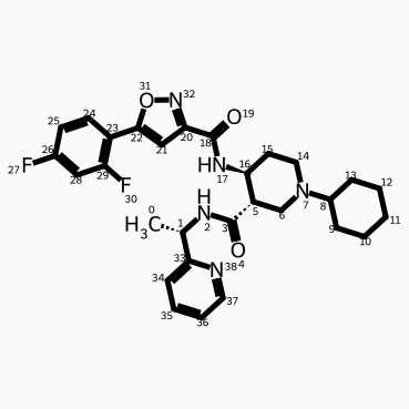 C[C@H](NC(=O)[C@H]1CN(C2CCCCC2)CC[C@@H]1NC(=O)c1cc(-c2ccc(F)cc2F)on1)c1ccccn1